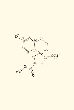 CC(C)(C)OC(=O)N1C[C@@H](C(=O)O)[C@@]2(CCCc3cc(Br)ccc32)C1